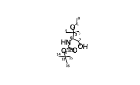 CCOC(C)(C)C(CO)NC(=O)OC(C)(C)C